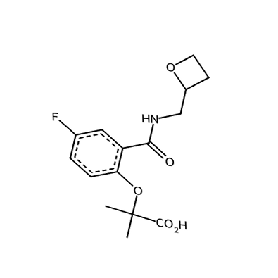 CC(C)(Oc1ccc(F)cc1C(=O)NCC1CCO1)C(=O)O